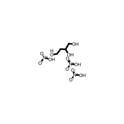 O=[N+]([O-])O.O=[N+]([O-])O.O=[N+]([O-])O.OCCC(O)CO